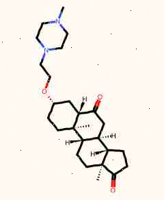 CN1CCN(CCO[C@H]2CC[C@@]3(C)[C@H](C2)C(=O)C[C@@H]2[C@@H]3CC[C@]3(C)C(=O)CC[C@@H]23)CC1